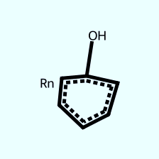 Oc1ccccc1.[Rn]